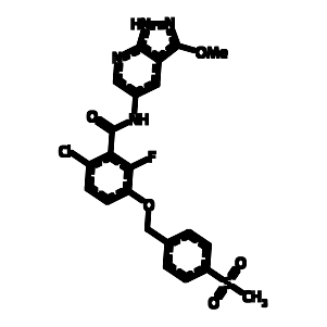 COc1n[nH]c2ncc(NC(=O)c3c(Cl)ccc(OCc4ccc(S(C)(=O)=O)cc4)c3F)cc12